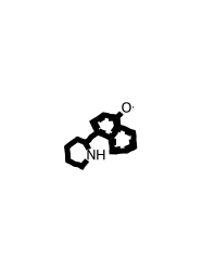 [O]c1ccc(C2CCCCN2)c2ccccc12